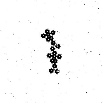 c1ccc(-c2c3c(c(-c4ccccc4)c4ccccc24)-c2ccc(-c4ccc(N(c5cccc(-c6ccc7c(-c8ccccc8)c8c(c(-c9ccccc9)c7c6)-c6cccc7c(-c9ccc(N(c%10ccccc%10)c%10cccnc%10)cc9)ccc-8c67)c5)c5ccccn5)cc4)c4cccc-3c24)cc1